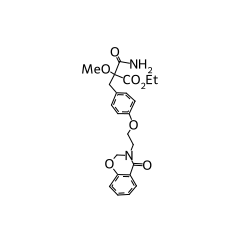 CCOC(=O)C(Cc1ccc(OCCN2COc3ccccc3C2=O)cc1)(OC)C(N)=O